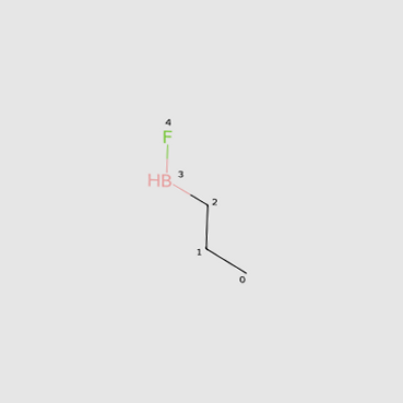 CCCBF